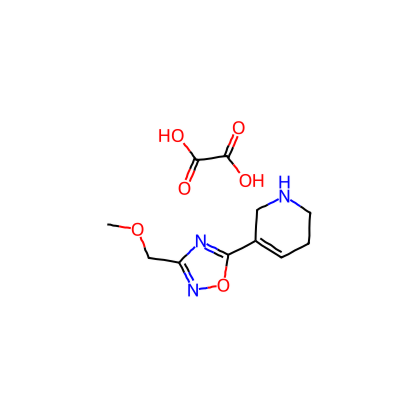 COCc1noc(C2=CCCNC2)n1.O=C(O)C(=O)O